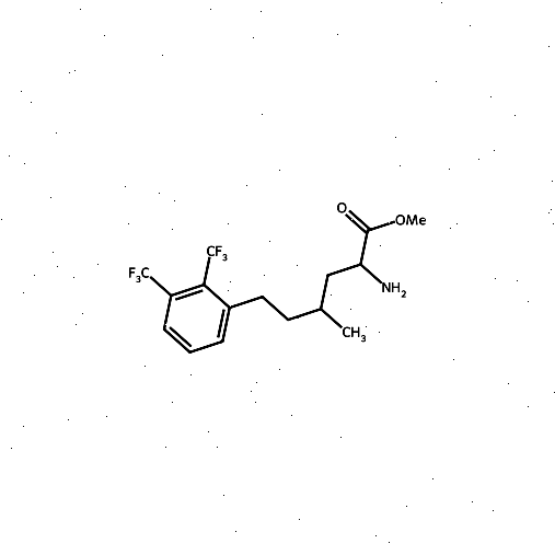 COC(=O)C(N)CC(C)CCc1cccc(C(F)(F)F)c1C(F)(F)F